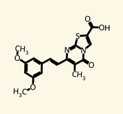 COc1cc(/C=C/c2nc3sc(C(=O)O)cn3c(=O)c2C)cc(OC)c1